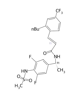 CCCCc1cc(C(F)(F)F)ccc1/C=C/C(=O)N[C@H](C)c1cc(F)c(NS(C)(=O)=O)c(F)c1